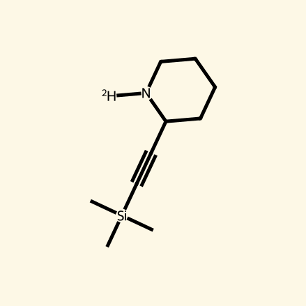 [2H]N1CCCCC1C#C[Si](C)(C)C